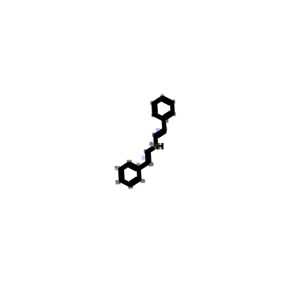 C(=C\c1ccccc1)/N/C=C/c1ccccc1